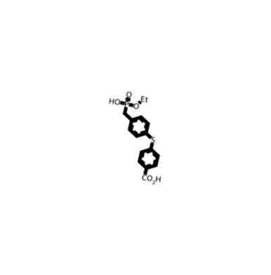 CCOP(=O)(O)Cc1ccc(Sc2ccc(C(=O)O)cc2)cc1